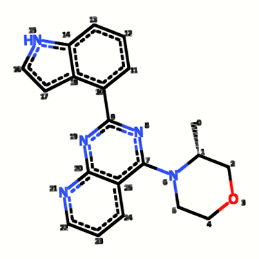 C[C@@H]1COCCN1c1nc(-c2cccc3[nH]ccc23)nc2ncccc12